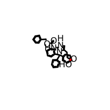 O=C(O)CCC1=CNC(NC(=O)OCc2ccccc2)N1C(c1ccccc1)(c1ccccc1)c1ccccc1